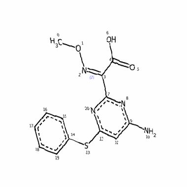 CO/N=C(\C(=O)O)c1nc(N)cc(Sc2ccccc2)n1